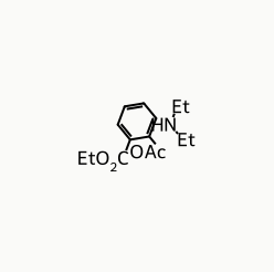 CCNCC.CCOC(=O)c1ccccc1OC(C)=O